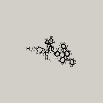 CC1CC2CC(C1)CC(C)(c1nc(-c3cccc(-n4c5ccccc5c5ccc6c(c7ccccc7n6-c6ccccc6)c54)c3)nc(C34CC5CC(CC(C5)C3)C4)n1)C2